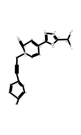 Cc1ccc(C#CCn2ccc(-c3nnc(C(F)F)o3)cc2=O)cc1